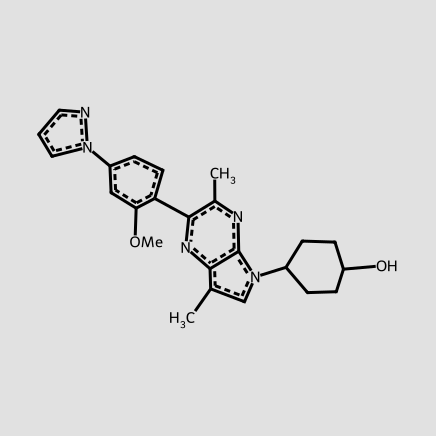 COc1cc(-n2cccn2)ccc1-c1nc2c(C)cn(C3CCC(O)CC3)c2nc1C